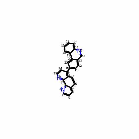 c1cnc2c(c1)ccc1c(-c3ccc4cnc5ccccc5c4c3)ccnc12